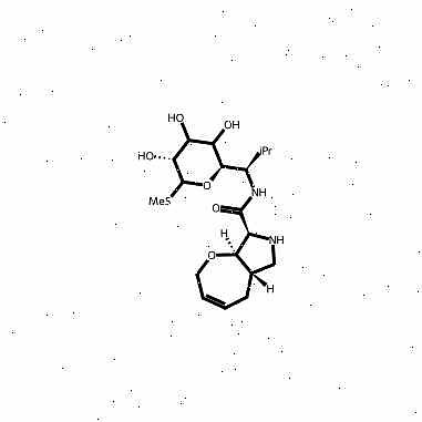 CSC1O[C@H]([C@H](NC(=O)[C@H]2NC[C@@H]3CC=CCO[C@H]32)C(C)C)C(O)C(O)[C@H]1O